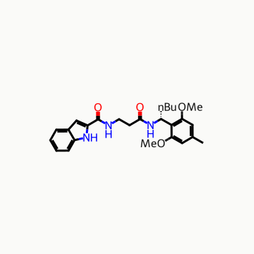 CCCC[C@@H](NC(=O)CCNC(=O)c1cc2ccccc2[nH]1)c1c(OC)cc(C)cc1OC